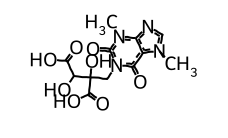 Cn1cnc2c1c(=O)n(CC(O)(C(=O)O)C(O)C(=O)O)c(=O)n2C